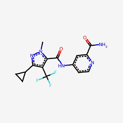 Cn1nc(C2CC2)c(C(F)(F)F)c1C(=O)Nc1ccnc(C(N)=O)c1